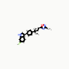 Cc1noc(CCC(C)(C)c2ccc(-c3c[nH]c4cc(F)ccc34)cc2)n1